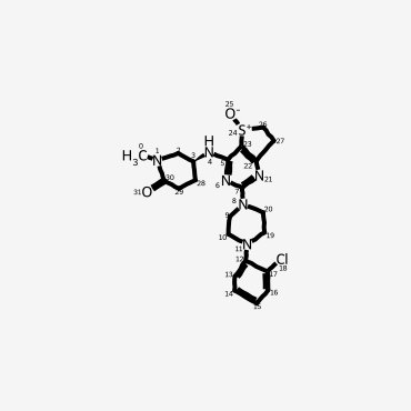 CN1C[C@@H](Nc2nc(N3CCN(c4ccccc4Cl)CC3)nc3c2[S+]([O-])CC3)CCC1=O